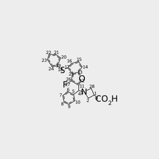 O=C(O)C1CN(C(c2ccccc2)c2oc3cccc(Sc4ccccc4)c3c2F)C1